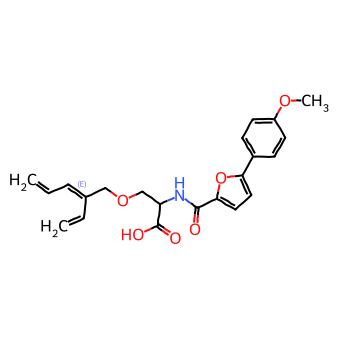 C=C/C=C(\C=C)COCC(NC(=O)c1ccc(-c2ccc(OC)cc2)o1)C(=O)O